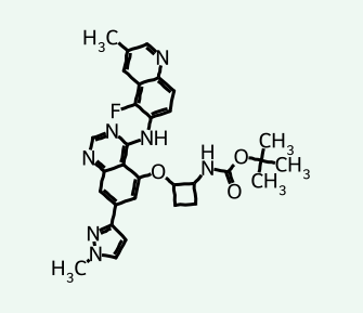 Cc1cnc2ccc(Nc3ncnc4cc(-c5ccn(C)n5)cc(OC5CCC5NC(=O)OC(C)(C)C)c34)c(F)c2c1